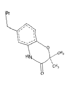 CC(C)Cc1ccc2c(c1)NC(=O)C(C)(C)O2